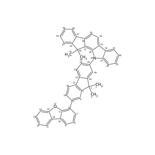 CC1(C)c2cc(-c3cccc4c3oc3ccccc34)ccc2-c2ccc(-n3c4ccccc4c4ccc5c(c43)C(C)(C)c3ccccc3-5)cc21